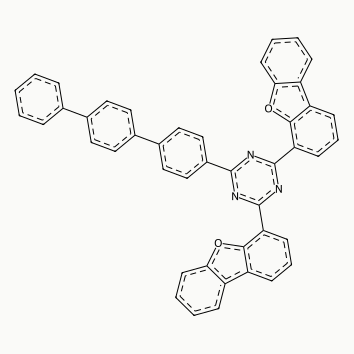 c1ccc(-c2ccc(-c3ccc(-c4nc(-c5cccc6c5oc5ccccc56)nc(-c5cccc6c5oc5ccccc56)n4)cc3)cc2)cc1